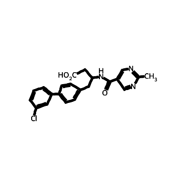 Cc1ncc(C(=O)NC(CC(=O)O)Cc2ccc(-c3cccc(Cl)c3)cc2)cn1